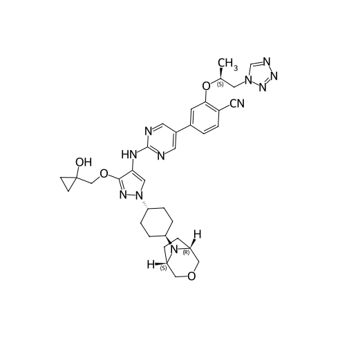 C[C@@H](Cn1cnnn1)Oc1cc(-c2cnc(Nc3cn([C@H]4CC[C@H](N5[C@@H]6CC[C@H]5COC6)CC4)nc3OCC3(O)CC3)nc2)ccc1C#N